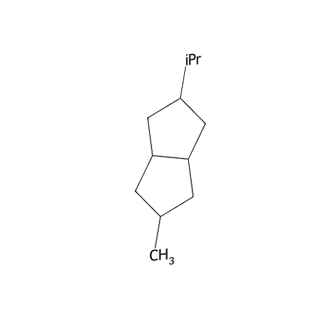 CC1CC2CC(C(C)C)CC2C1